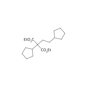 CCOC(=O)C(CCC1CCCC1)(C(=O)OCC)C1CCCC1